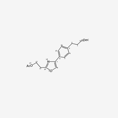 CCCCCCCCCCCCc1ccc(-c2coc(CCOC(C)=O)n2)cc1